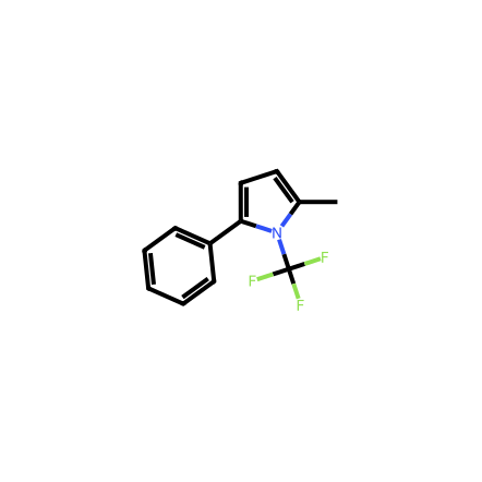 Cc1ccc(-c2ccccc2)n1C(F)(F)F